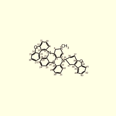 CC1C=C2C3=C(C1)N(c1cccc4oc5ccccc5c14)c1ccccc1B3c1ccccc1N2C1C=Cc2oc3ccccc3c2C1